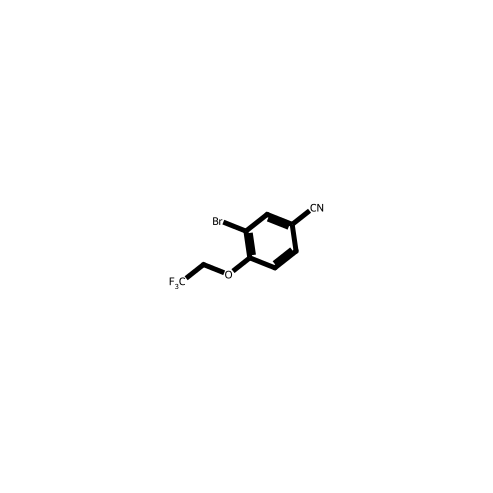 N#Cc1ccc(OCC(F)(F)F)c(Br)c1